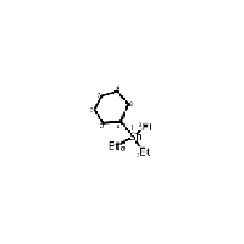 C[CH2][Sn]([CH2]C)([CH2]C)[CH]1CCCCC1